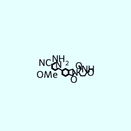 COc1cc(C#N)c(N)nc1-c1ccc2c(c1)CN(C1CCC(=O)NC1=O)C2=O